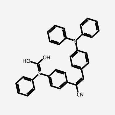 N#CC(=Cc1ccc(N(c2ccccc2)c2ccccc2)cc1)c1ccc(S(=C(O)O)c2ccccc2)cc1